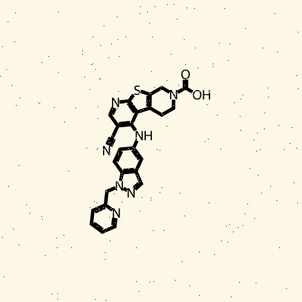 N#Cc1cnc2sc3c(c2c1Nc1ccc2c(cnn2Cc2ccccn2)c1)CCN(C(=O)O)C3